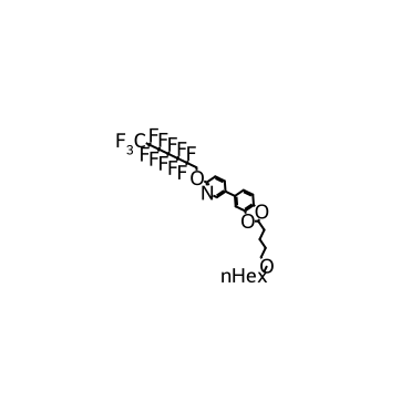 CCCCCCOCCCCC1Oc2ccc(-c3ccc(OCC(F)(F)C(F)(F)C(F)(F)C(F)(F)C(F)(F)C(F)(F)F)nc3)cc2O1